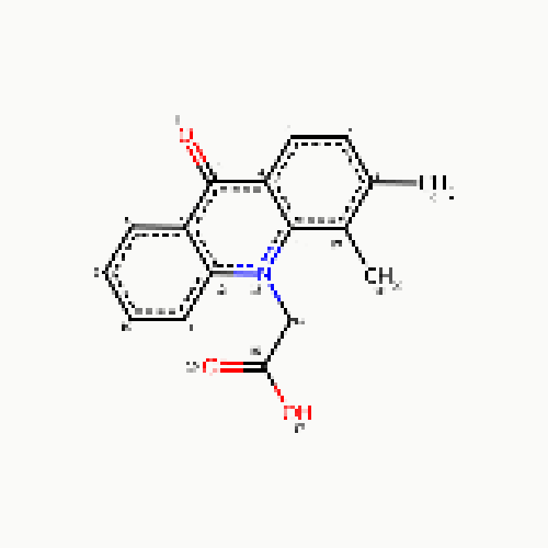 Cc1ccc2c(=O)c3ccccc3n(CC(=O)O)c2c1C